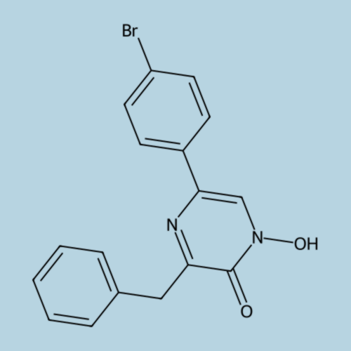 O=c1c(Cc2ccccc2)nc(-c2ccc(Br)cc2)cn1O